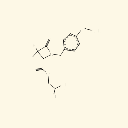 COc1ccc(CN2C(=O)C(F)(F)[C@H]2C(=O)OCC(C)C)cc1